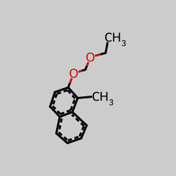 CCOCOc1ccc2ccccc2c1C